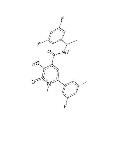 Cc1cc(F)cc(-c2cc(C(=O)NC(C)c3cc(F)cc(F)c3)c(O)c(=O)n2C)c1